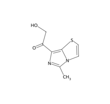 Cc1nc(C(=O)CO)c2sccn12